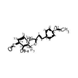 COc1ccc(/C=C/C(=O)NN2C=CC(=C=O)C(O)=C2C)cc1